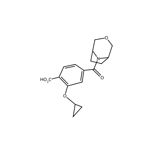 O=C(O)c1ccc(C(=O)N2C3CCC2COC3)cc1OC1CC1